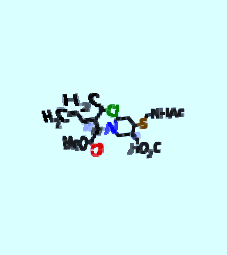 C=C/C=C(\C(=C)Cl)[C@@H](C(=O)OC)N1CCC(SCNC(C)=O)/C(=C/C(=O)O)C1